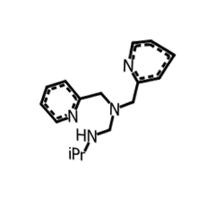 CC(C)NCN(Cc1ccccn1)Cc1ccccn1